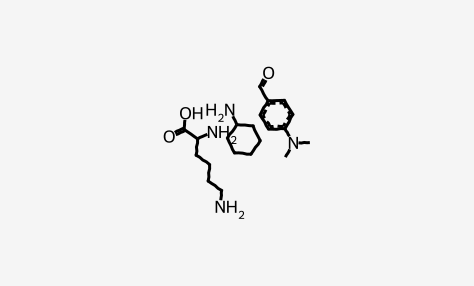 CN(C)c1ccc(C=O)cc1.NC1CCCCC1.NCCCCC(N)C(=O)O